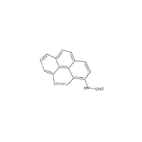 O=CNc1ccc2ccc3cccc4ccc1c2c34